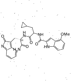 COc1cccc2[nH]c(C(=O)NC(CC3CC3)C(=O)N[C@@H](CC3=c4ccccc4=NC3=O)C(N)=O)cc12